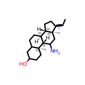 C/C=C1\CC[C@H]2[C@@H]3CCC4CC(O)CC[C@]4(C)[C@H]3C(N)C[C@]12C